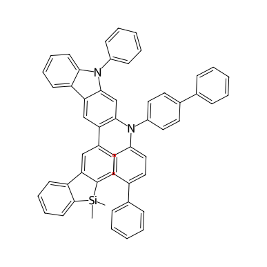 C[Si]1(C)c2ccccc2-c2cc(-c3cc4c5ccccc5n(-c5ccccc5)c4cc3N(c3ccc(-c4ccccc4)cc3)c3ccc(-c4ccccc4)cc3)ccc21